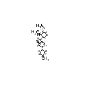 C=Nc1c(CCC)cccc1-c1cnn2cc(-c3ccc(C)cc3)cnc12